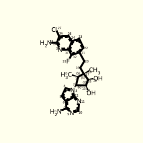 C[C@@H]1[C@@H](n2ccc3c(N)ncnc32)[C@H](O)[C@H](O)[C@@]1(C)CCc1ccc2cc(Cl)c(N)nc2c1F